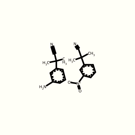 CC(C)(C#N)c1cccc(N)c1.CC(C)(C#N)c1cccc([N+](=O)[O-])c1